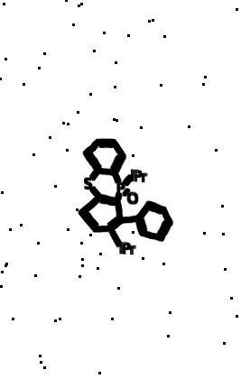 CC(C)c1ccc2c(c1-c1ccccc1)P(=O)(C(C)C)c1ccccc1S2